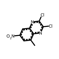 Cc1cc([N+](=O)[O-])cc2nc(Cl)c(Cl)nc12